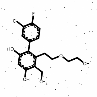 CCc1c(O)cc(O)c(-c2ccc(F)c(Cl)c2)c1CCOCCO